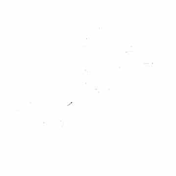 CCC1=CCC(=O)C2CN(c3c(-c4ccncc4)nc(N(C)C[C@H](Cc4ccccc4)NC(=O)OC(C)(C)C)[nH]c3=O)C=C12